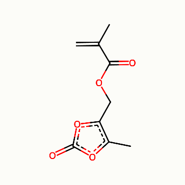 C=C(C)C(=O)OCc1oc(=O)oc1C